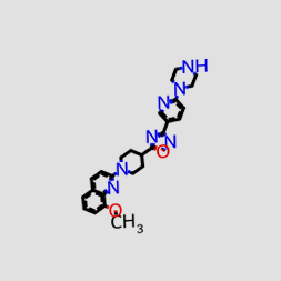 COc1cccc2ccc(N3CCC(c4nc(-c5ccc(N6CCNCC6)nc5)no4)CC3)nc12